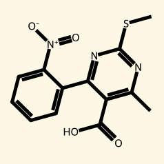 CSc1nc(C)c(C(=O)O)c(-c2ccccc2[N+](=O)[O-])n1